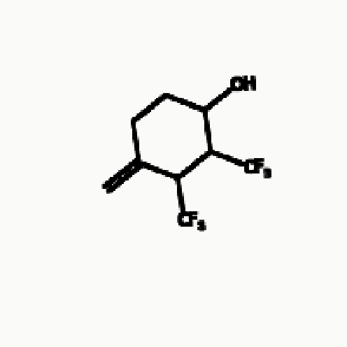 C=C1CCC(O)C(C(F)(F)F)C1C(F)(F)F